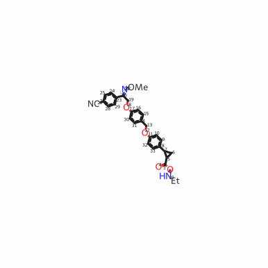 CCNOC(=O)C1CC1c1ccc(OCc2ccc(OC/C(=N\OC)c3ccc(C#N)cc3)cc2)cc1